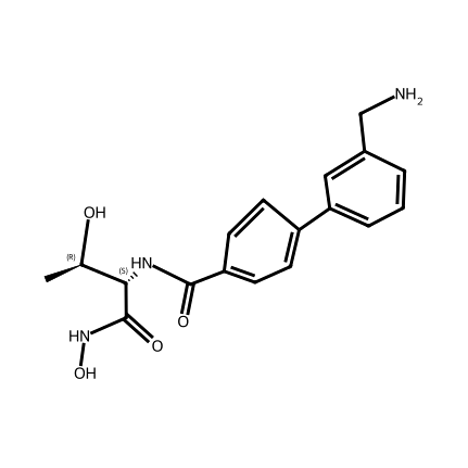 C[C@@H](O)[C@H](NC(=O)c1ccc(-c2cccc(CN)c2)cc1)C(=O)NO